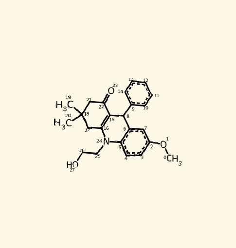 COc1ccc2c(c1)C(c1ccccc1)C1=C(CC(C)(C)CC1=O)N2CCO